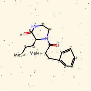 CN[C@@H](Cc1ccccc1)C(=O)N1CCNC(=O)[C@@H]1CCSC